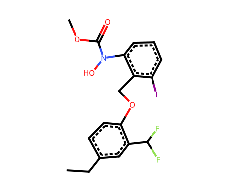 CCc1ccc(OCc2c(I)cccc2N(O)C(=O)OC)c(C(F)F)c1